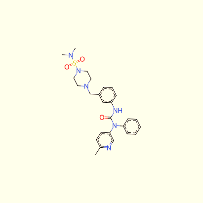 Cc1ccc(N(C(=O)Nc2cccc(CN3CCN(S(=O)(=O)N(C)C)CC3)c2)c2ccccc2)cn1